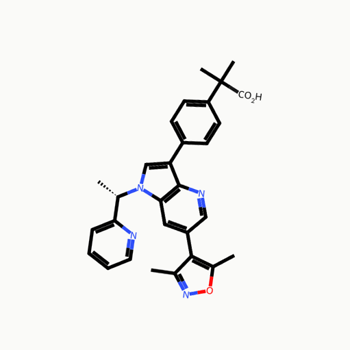 Cc1noc(C)c1-c1cnc2c(-c3ccc(C(C)(C)C(=O)O)cc3)cn([C@@H](C)c3ccccn3)c2c1